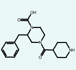 O=C(C1CCNCC1)N1CCN(C(=O)O)C(Cc2ccccc2)C1